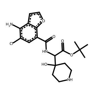 CC(C)(C)OC(=O)C(NC(=O)c1cc(Cl)c(N)c2ccoc12)C1(O)CCNCC1